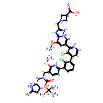 COc1nc(-c2cccc(-c3ccnc(-c4cc(OC)c5nc(CN6CC(C(=O)O)C6)nn5c4)c3Cl)c2Cl)ccc1CN(C[C@@H]1CCC(=O)N1)C(=O)OC(C)(C)C